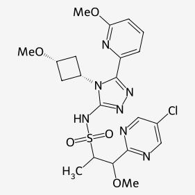 COc1cccc(-c2nnc(NS(=O)(=O)C(C)C(OC)c3ncc(Cl)cn3)n2[C@H]2C[C@@H](OC)C2)n1